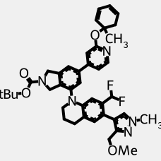 COCc1nn(C)cc1-c1cc2c(cc1C(F)F)N(c1cc(-c3ccnc(OC4(C)C=CC=CC4)c3)cc3c1CN(C(=O)OC(C)(C)C)C3)CCC2